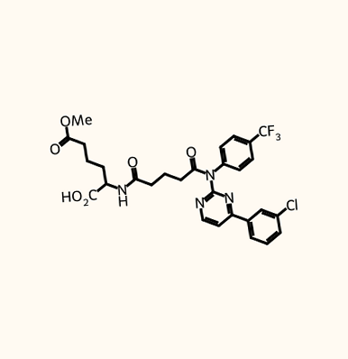 COC(=O)CCCC(NC(=O)CCCC(=O)N(c1ccc(C(F)(F)F)cc1)c1nccc(-c2cccc(Cl)c2)n1)C(=O)O